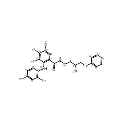 O=C(NOCC(O)COc1ccccc1)c1cc(Cl)c(F)c(F)c1Nc1ccc(F)cc1F